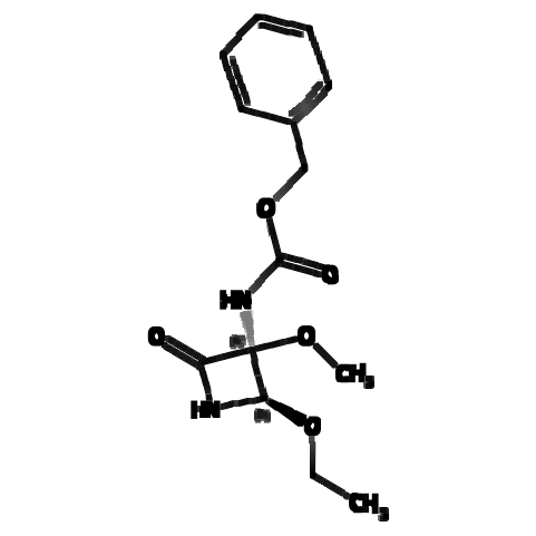 CCO[C@H]1NC(=O)[C@@]1(NC(=O)OCc1ccccc1)OC